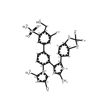 Cc1nc(-c2cc(-c3cc(F)c(CO)c(S(C)(=O)=O)c3)ccc2-n2cc(Cl)nc2C)c(-c2ccc3c(c2)OC(F)(F)O3)o1